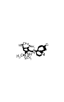 CNC1CC(NC)(NC)C(CNc2ccnc3cc(Cl)ccc23)C1N